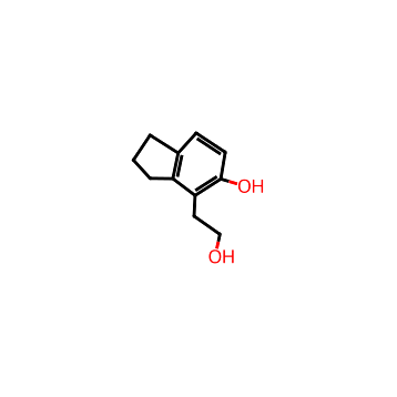 OCCc1c(O)ccc2c1CCC2